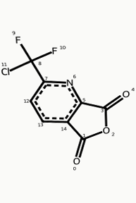 O=C1OC(=O)c2nc(C(F)(F)Cl)ccc21